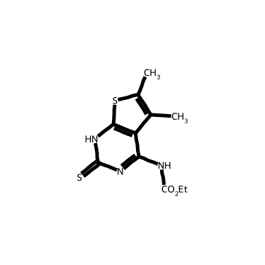 CCOC(=O)Nc1nc(=S)[nH]c2sc(C)c(C)c12